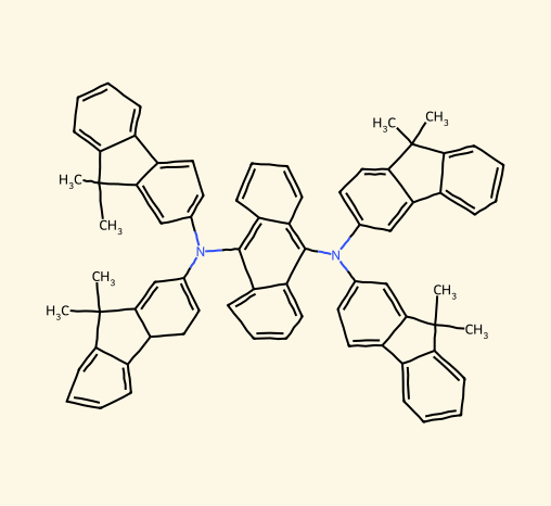 CC1(C)C2=CC(N(c3ccc4c(c3)C(C)(C)c3ccccc3-4)c3c4ccccc4c(N(c4ccc5c(c4)-c4ccccc4C5(C)C)c4ccc5c(c4)C(C)(C)c4ccccc4-5)c4ccccc34)=CCC2c2ccccc21